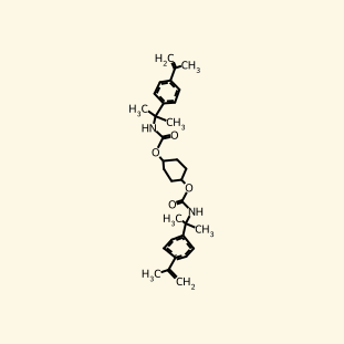 C=C(C)c1ccc(C(C)(C)NC(=O)OC2CCC(OC(=O)NC(C)(C)c3ccc(C(=C)C)cc3)CC2)cc1